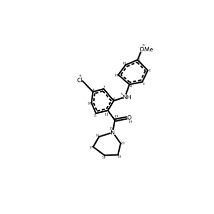 COc1ccc(Nc2cc(Cl)ccc2C(=O)N2CCCCC2)cc1